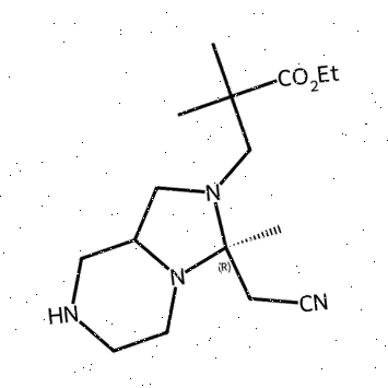 CCOC(=O)C(C)(C)CN1CC2CNCCN2[C@]1(C)CC#N